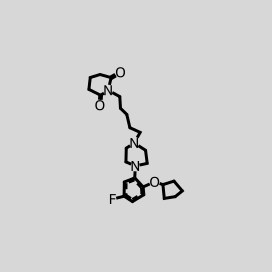 O=C1CCCC(=O)N1CCCCCN1CCN(c2cc(F)ccc2OC2CCCC2)CC1